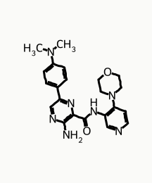 CN(C)c1ccc(-c2cnc(N)c(C(=O)Nc3cnccc3N3CCOCC3)n2)cc1